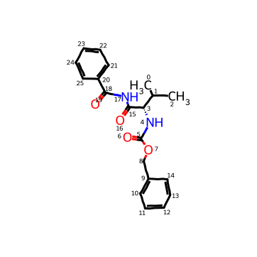 CC(C)[C@H](NC(=O)OCc1ccccc1)C(=O)NC(=O)c1ccccc1